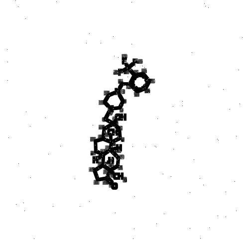 C[C@]12CCC(O)(CN3CCN(Cc4ccccc4C(F)(F)F)CC3)CC1CC[C@@H]1[C@H]2CC[C@]2(C)C(=O)CC[C@@H]12